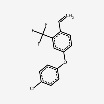 C=Cc1ccc(Oc2ccc(Cl)cc2)cc1C(F)(F)F